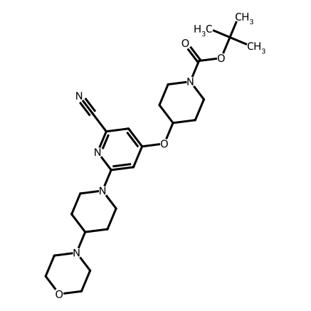 CC(C)(C)OC(=O)N1CCC(Oc2cc(C#N)nc(N3CCC(N4CCOCC4)CC3)c2)CC1